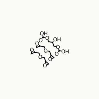 C(OCC1CO1)C1CO1.C(OCC1CO1)C1CO1.O=C(O)OCC(O)COC(=O)O